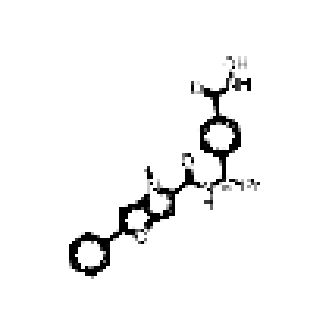 CC(C)[C@@H](NC(=O)c1cc2oc(-c3ccccc3)cc2n1C)c1ccc(C(=O)NO)cc1